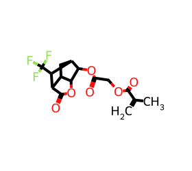 C=C(C)C(=O)OCC(=O)OC1C2CC3C1OC(=O)C3C2C(F)(F)F